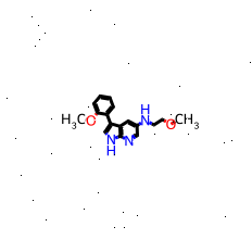 COCCNc1cnc2[nH]cc(-c3ccccc3OC)c2c1